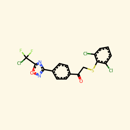 O=C(CSc1c(Cl)cccc1Cl)c1ccc(-c2noc(C(F)(F)Cl)n2)cc1